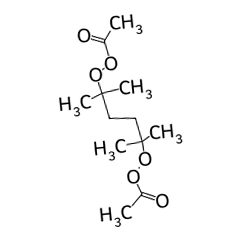 CC(=O)OOC(C)(C)CCC(C)(C)OOC(C)=O